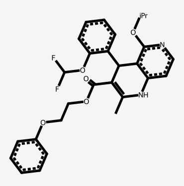 CC1=C(C(=O)OCCOc2ccccc2)C(c2ccccc2OC(F)F)c2c(ccnc2OC(C)C)N1